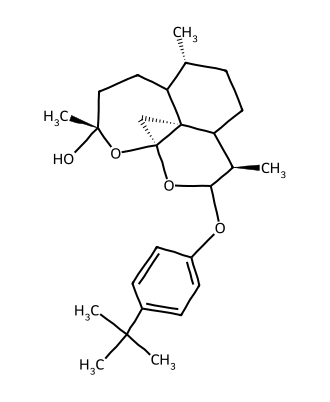 C[C@H]1C(Oc2ccc(C(C)(C)C)cc2)O[C@]23C[C@]24C1CC[C@@H](C)C4CC[C@@](C)(O)O3